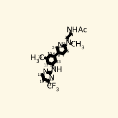 CC(=O)NCCN(C)c1ccc(-c2cc(C)cc(Nc3nccc(C(F)(F)F)n3)c2)cn1